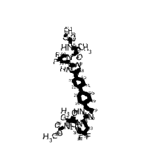 COC(=O)N[C@@H](C)C(=O)N1CC(F)(F)C[C@H]1c1ncc(-c2ccc(-c3ccc(-c4cnc([C@@H]5CC(F)(F)CN5C(=O)[C@H](C)NC(=O)OC)[nH]4)cc3)cc2)[nH]1